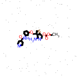 CCOC(=O)Oc1cnc(N)c2c(COc3cccc(NC(=O)c4ccncc4)c3)csc12